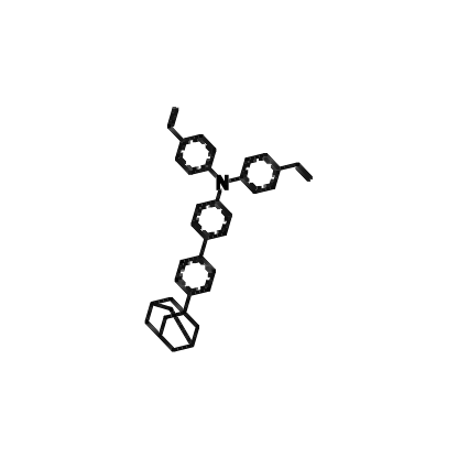 C=Cc1ccc(N(c2ccc(C=C)cc2)c2ccc(-c3ccc(C45CC6CC(CC(C6)C4)C5)cc3)cc2)cc1